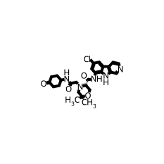 CC1(C)CN(CC(=O)NC2CCC(=O)CC2)[C@H](C(=O)Nc2cc(Cl)cc3c2[nH]c2cnccc23)CO1